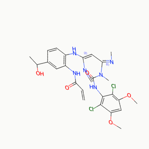 C=CC(=O)Nc1cc(C(C)O)ccc1N/C(=C/C(=N\C)N(C)C(=O)Nc1c(Cl)c(OC)cc(OC)c1Cl)N=C